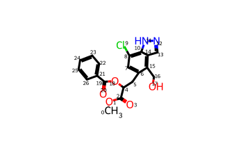 COC(=O)C(Cc1cc(Cl)c2[nH]ncc2c1CO)OC(=O)c1ccccc1